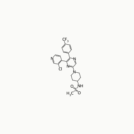 CS(=O)(=O)NC1CCN(c2cnc(-c3ccc(C(F)(F)F)cc3)c(-c3ccncc3Cl)n2)CC1